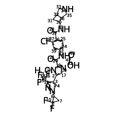 Cn1c(-c2cn(C3CC3(F)F)nc2C(F)(F)F)cnc1C(=O)Nc1ccc(C(=O)NC2CC3CNCC32)c(Cl)c1.O=CO